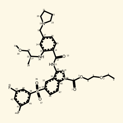 CCOCCOC(=O)n1nc(NC(=O)c2ccc(CN3CCCC3)cc2N[C@@H](C)COC)c2cc(S(=O)(=O)c3cc(F)cc(F)c3)ccc21